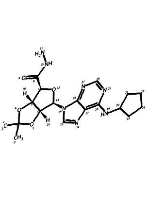 CC1(C)O[C@@H]2[C@H](O1)[C@@H](C(=O)NN)O[C@H]2n1cnc2c(NC3CCCC3)ncnc21